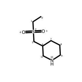 CCS(=O)(=O)CC1CCCNC1